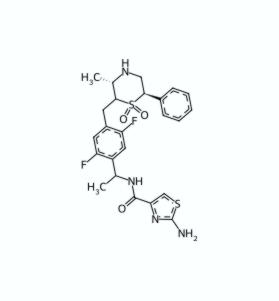 CC(NC(=O)c1csc(N)n1)c1cc(F)c(CC2[C@H](C)NC[C@@H](c3ccccc3)S2(=O)=O)cc1F